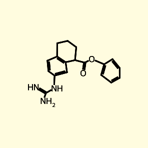 N=C(N)Nc1ccc2c(c1)C(C(=O)Oc1ccccc1)CCC2